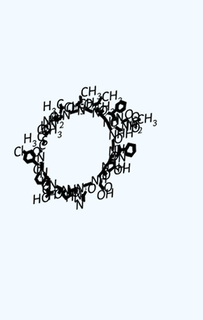 CCCC[C@H]1C(=O)N(C)[C@@H](CCCC)C(=O)N[C@@H](CC(C)C)C(=O)N[C@H](C(N)=O)C(C)(C)SCC(=O)N[C@@H](Cc2ccc(Cl)cc2)C(=O)N2CCCC[C@H]2C(=O)N[C@@H](CC(=O)O)C(=O)N2CCC[C@H]2C(=O)N[C@@H](Cc2cnc[nH]2)C(=O)N[C@@H](CCC(=O)O)C(=O)N2C[C@H](O)C[C@H]2C(=O)N[C@@H](Cc2c[nH]c3ccccc23)C(=O)N[C@@H](CCN)C(=O)N[C@@H](Cc2cn(CC(=O)NS(C)(=O)=O)c3ccccc23)C(=O)N1C